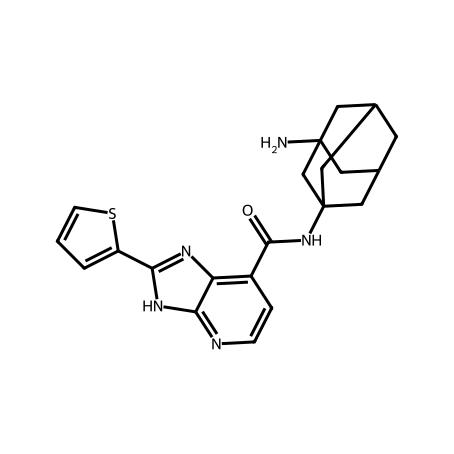 NC12CC3CC(C1)CC(NC(=O)c1ccnc4[nH]c(-c5cccs5)nc14)(C3)C2